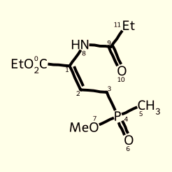 CCOC(=O)C(=CCP(C)(=O)OC)NC(=O)CC